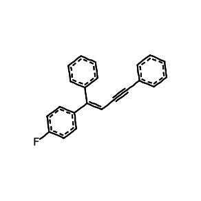 Fc1ccc(/C(=C/C#Cc2ccccc2)c2ccccc2)cc1